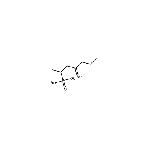 CCCC(=N)[CH]C(C)P(=O)(O)O